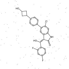 O=C1Nc2cc(Cl)c(-c3ccc(C4CC(O)C4)cc3)cc2C1=C(O)c1ccc(F)cc1F